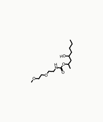 CCCCC(O)CC(C)OC(=O)NCCOCCOC